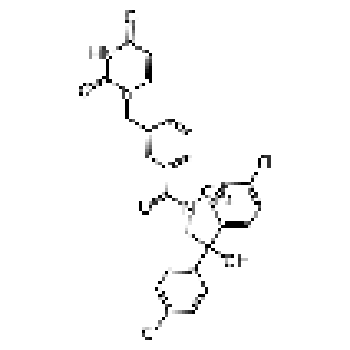 CN(CC(O)(c1ccc(Cl)cc1)c1ccc(Cl)cc1)C(=O)c1cccc(Cn2ccc(=O)[nH]c2=O)c1